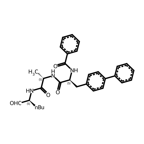 CCCC[C@@H](C=O)NC(=O)[C@H](C)NC(=O)[C@H](Cc1ccc(-c2ccccc2)cc1)NC(=O)c1ccccc1